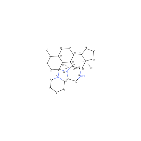 CC1CCC(N2CCCCC2)(N2CCNCC2)[C@@]2(C)C1CCC1C3CCC[C@@]3(C)CCC12